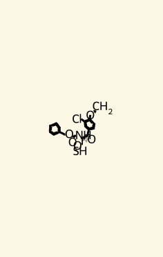 C=COc1ccc(C(=O)[C@@H](COS)NC(=O)OCc2ccccc2)cc1Cl